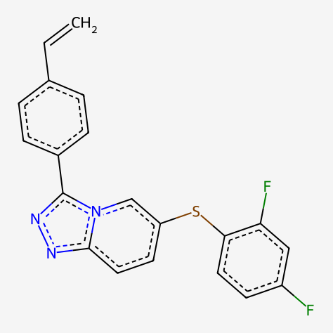 C=Cc1ccc(-c2nnc3ccc(Sc4ccc(F)cc4F)cn23)cc1